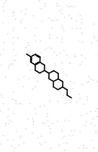 CCCC1CCC2CC(C3CCc4cc(C)ccc4C3)CCC2C1